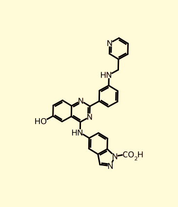 O=C(O)n1ncc2cc(Nc3nc(-c4cccc(NCc5cccnc5)c4)nc4ccc(O)cc34)ccc21